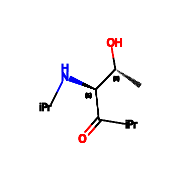 CC(C)N[C@H](C(=O)C(C)C)[C@@H](C)O